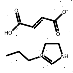 CCC[N+]1=CNCC1.O=C([O-])C=CC(=O)O